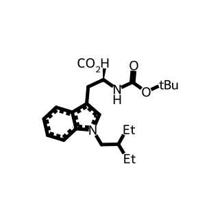 CCC(CC)Cn1cc(C[C@H](NC(=O)OC(C)(C)C)C(=O)O)c2ccccc21